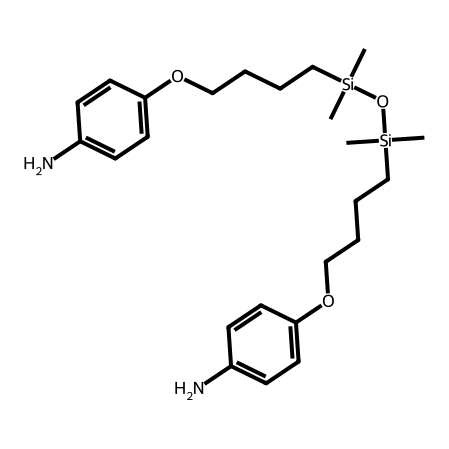 C[Si](C)(CCCCOc1ccc(N)cc1)O[Si](C)(C)CCCCOc1ccc(N)cc1